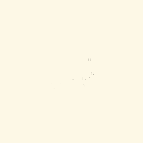 C/C=C(\C=C/C/C(=C/CC)NNN(C)CCN(CC)CC)c1ccc(C)cc1C